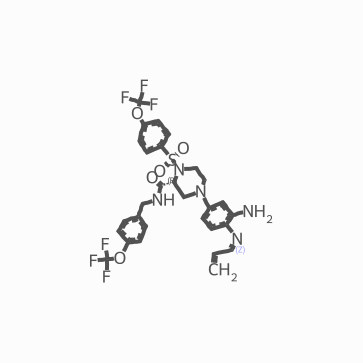 C=C/C=N\c1ccc(N2CCN(S(=O)(=O)c3ccc(OC(F)(F)F)cc3)[C@@H](C(=O)NCc3ccc(OC(F)(F)F)cc3)C2)cc1N